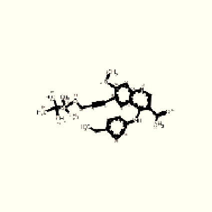 CCc1ccc(Nc2c(C(N)=O)cnc3cc(OC)c(C#CCO[Si](C)(C)C(C)(C)C)cc23)cc1